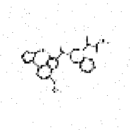 CNC(=O)CCN(Cc1ccccn1)C(=O)c1cc2c(OC)ccc(-c3ccnn3C)c2s1